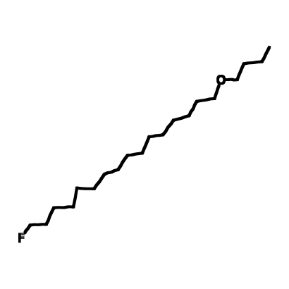 CCCCOCCCCCCCCCCCCCCCCF